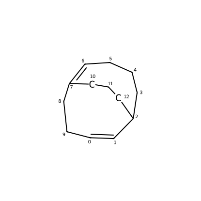 C1=CC2CCCC=C(CC1)CCC2